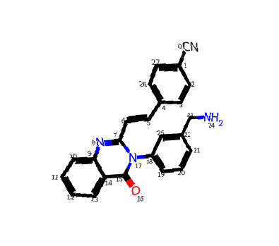 N#Cc1ccc(/C=C/c2nc3ccccc3c(=O)n2-c2cccc(CN)c2)cc1